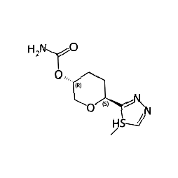 C[SH]1C=NN=C1[C@@H]1CC[C@@H](OC(N)=O)CO1